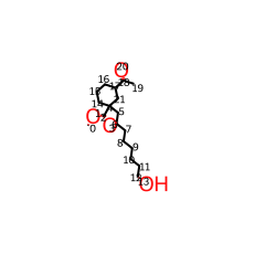 COC(=O)C1(CCCCCCCCO)CCCC(C(C)=O)C1